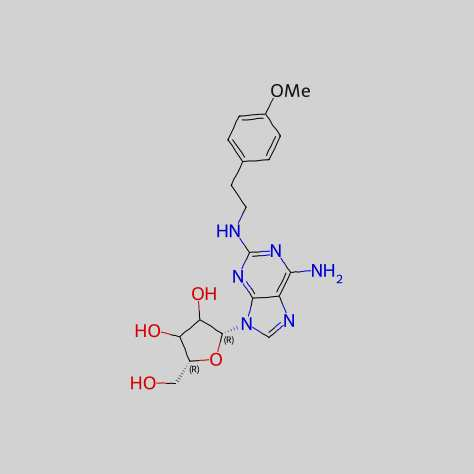 COc1ccc(CCNc2nc(N)c3ncn([C@@H]4O[C@H](CO)C(O)C4O)c3n2)cc1